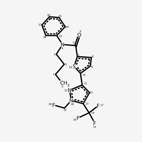 CCCCN(C(=O)c1ccc(-c2cc(C(F)(F)F)n(CF)n2)s1)c1ccccc1